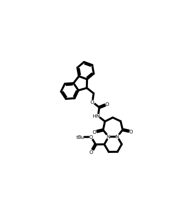 CC(C)(C)OC(=O)C1CCCN2C(=O)CCC(NC(=O)OCC3c4ccccc4-c4ccccc43)C(=O)N12